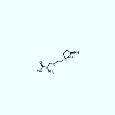 N=C1CC[C@@H](CCOC[C@H](N)C(=O)O)N1